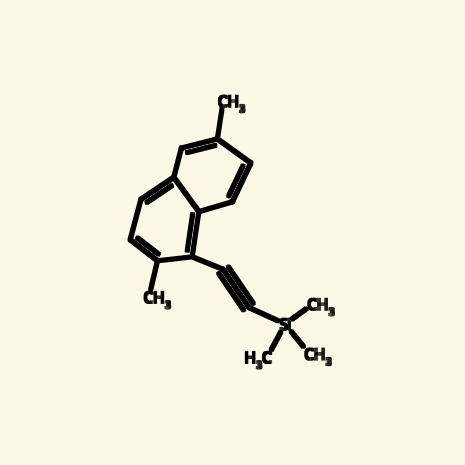 Cc1ccc2c(C#C[Si](C)(C)C)c(C)ccc2c1